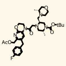 CC(=O)OCc1nc2c(cc1Cc1ccc(F)cc1)N(C(=O)CN1C[C@@H](C)N(C(=O)OC(C)(C)C)C[C@@H]1CN1CCOC[C@H]1C)CCO2